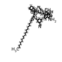 CCCCCCCCCCCCCCCCCCCOC[C@H](COP(=O)(OC[C@H](C[C@@H](OC(C)(C)O)c1ccc2c(N)ncnn12)OC#N)Oc1ccccc1Cl)OCc1cc(F)cc(C#N)c1